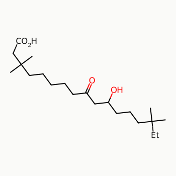 CCC(C)(C)CCCC(O)CC(=O)CCCCCC(C)(C)CC(=O)O